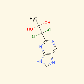 CC(O)(O)C(Cl)(Cl)c1ncc2nc[nH]c2n1